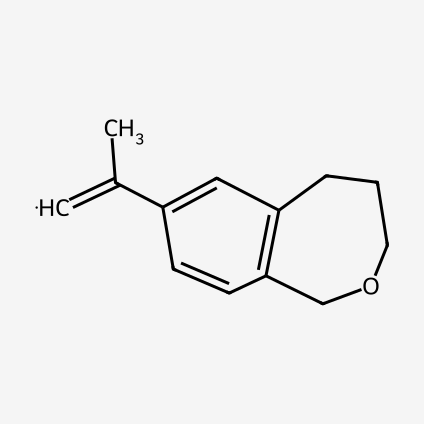 [CH]=C(C)c1ccc2c(c1)CCCOC2